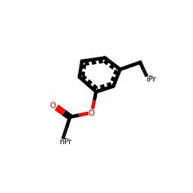 CCCC(=O)Oc1cccc(CC(C)C)c1